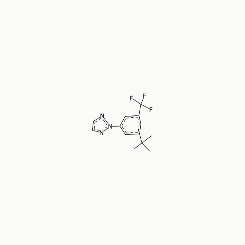 CC(C)(C)c1cc(-n2nccn2)cc(C(F)(F)F)c1